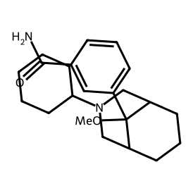 COC1(c2cccc(C(N)=O)c2)C2CCCC1CN(C1CCCCC1)C2